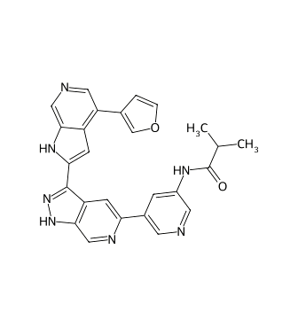 CC(C)C(=O)Nc1cncc(-c2cc3c(-c4cc5c(-c6ccoc6)cncc5[nH]4)n[nH]c3cn2)c1